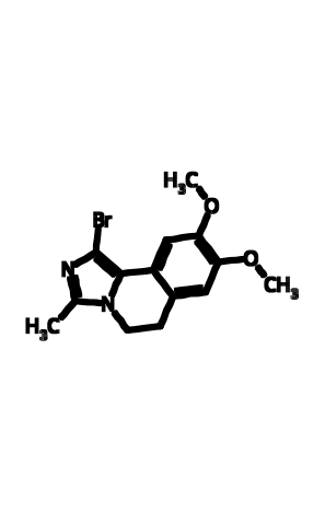 COc1cc2c(cc1OC)-c1c(Br)nc(C)n1CC2